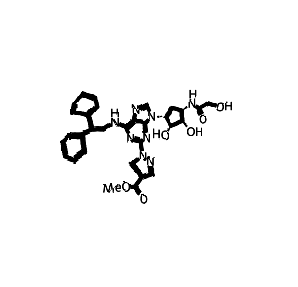 COC(=O)c1cnn(-c2nc(NCC(c3ccccc3)c3ccccc3)c3ncn([C@@H]4C[C@H](NC(=O)CO)[C@@H](O)[C@H]4O)c3n2)c1